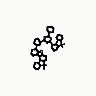 CC1(C)c2ccccc2-c2c(-c3nc(-c4ccccc4)nc(-c4cccc(-c5cccc6c5oc5ccc7c(c56)-c5ccccc5C7(C)C)c4)n3)cccc21